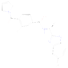 C[C@H](NC(=O)c1ccc(C(=O)N2CC=CC2)c(Br)c1)c1nc2cc(Br)ccc2[nH]1